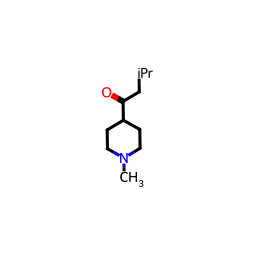 CC(C)CC(=O)C1CCN(C)CC1